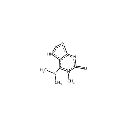 CN(C)c1c2[nH]cnc2nc(=O)n1C